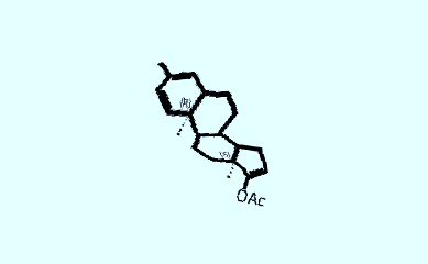 CC(=O)OC1=CCC2C3CCC4C=C(C)C=C[C@]4(C)C3CC[C@]12C